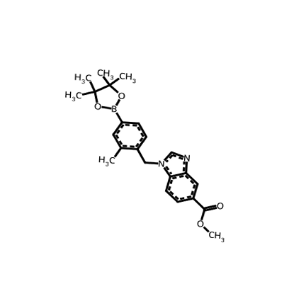 COC(=O)c1ccc2c(c1)ncn2Cc1ccc(B2OC(C)(C)C(C)(C)O2)cc1C